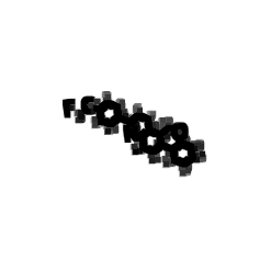 FC(F)(F)c1ccc(-c2ccc3c4c(ccc3n2)-c2ccccc2OC4)cc1